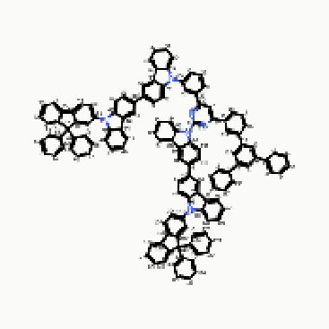 c1ccc(-c2cc(-c3ccccc3)cc(-c3cccc(-c4cc(-c5cccc(-n6c7ccccc7c7cc(-c8ccc9c(c8)c8ccccc8n9-c8ccc9c(c8)C(c8ccccc8)(c8ccccc8)c8ccccc8-9)ccc76)c5)nc(-n5c6ccccc6c6cc(-c7ccc8c(c7)c7ccccc7n8-c7ccc8c(c7)C(c7ccccc7)(c7ccccc7)c7ccccc7-8)ccc65)n4)c3)c2)cc1